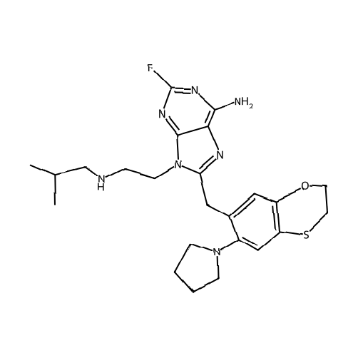 CC(C)CNCCn1c(Cc2cc3c(cc2N2CCCC2)SCCO3)nc2c(N)nc(F)nc21